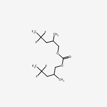 CC(COC(=O)OCC(C)CC(F)(F)C(F)(F)F)CC(F)(F)C(F)(F)F